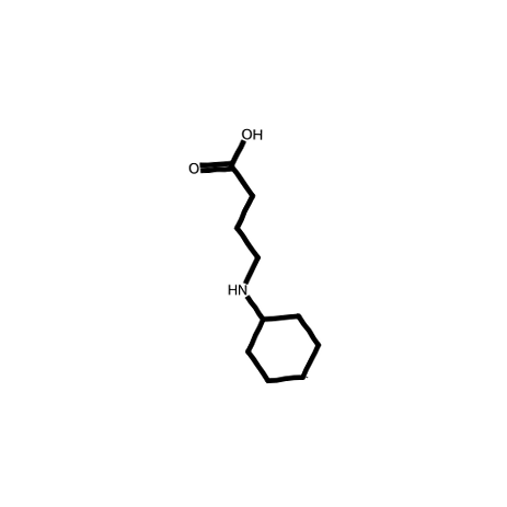 O=C(O)CCCNC1CC[CH]CC1